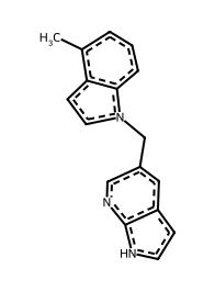 Cc1cccc2c1ccn2Cc1cnc2[nH]ccc2c1